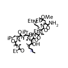 C/C=C/C[C@@H](C)[C@@H](O)[C@@H](C(=O)N[C@@H](CC)C(=O)N(C)[C@H](SCCN(CC)CC)C(=O)N(C)[C@@H](CC(C)(C)OC)C(N)=O)N(C)C(=O)[C@H](C(C)C)N(C)C(=O)[C@H](CC(C)C)N(C)C(=O)[C@@H](C)N(C)C(=O)CC